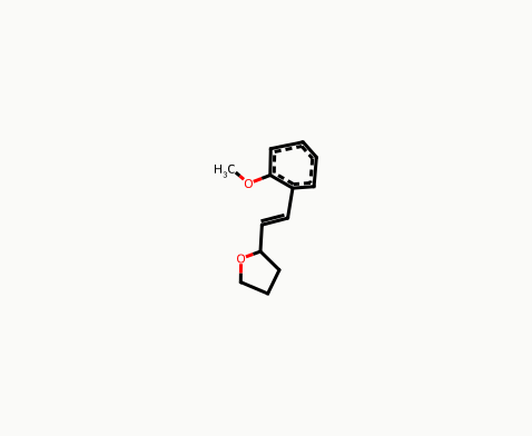 COc1ccccc1C=CC1CCCO1